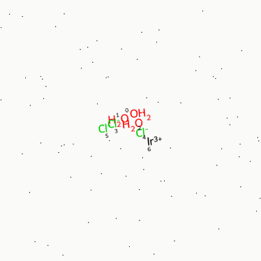 O.O.O.[Cl-].[Cl-].[Cl-].[Ir+3]